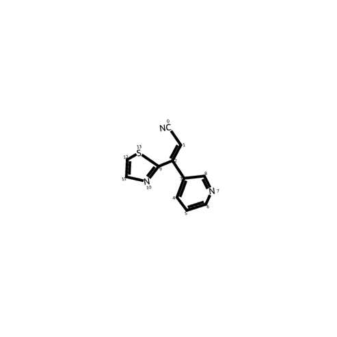 N#CC=C(c1cccnc1)c1nccs1